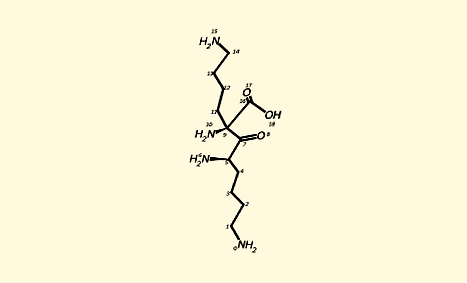 NCCCC[C@@H](N)C(=O)[C@](N)(CCCCN)C(=O)O